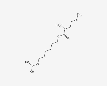 CSCCC(N)C(=O)OCCCCCCON(O)O